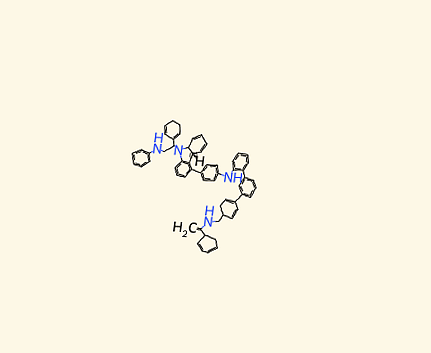 C=C(NCC1C=CC(c2cccc(-c3ccccc3Nc3ccc(-c4cccc5c4[C@H]4C=CC=CC4N5C(CNc4ccccc4)C4=CCCC=C4)cc3)c2)=CC1)C1C=CC=CC1